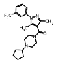 Cc1nn(-c2cccc(C(F)(F)F)c2)c(C)c1C(=O)N1CCN(C2CCCC2)CC1